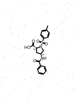 Cc1ccc(S(=O)(=O)N2C[C@@H](NC(=O)c3ccccc3)C[C@H]2C(=O)O)cc1